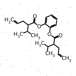 C=CCC(C(=O)Oc1ccccc1OC(=O)C(CC=C)C(C)C)C(C)C